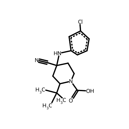 CC(C)(C)C1CC(C#N)(Nc2cccc(Cl)c2)CCN1C(=O)O